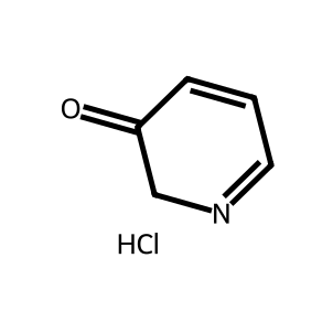 Cl.O=C1C=CC=NC1